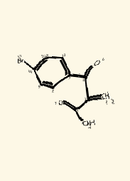 C=C(C(=O)O)C(=O)c1ccc(Br)cc1